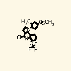 CSOc1ccc(-n2ccc3c(Cl)nc4c(OC(F)(F)F)cccc4c32)c(C)c1